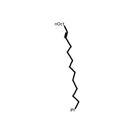 CCCCCCCCC=CCCCCCCCCCC(C)C